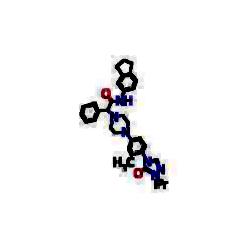 Cc1cc(N2CCN(C(C(=O)Nc3ccc4c(c3)CCC4)c3ccccc3)CC2)ccc1-n1cnn(C(C)C)c1=O